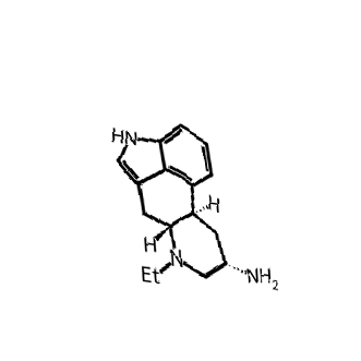 CCN1C[C@@H](N)C[C@@H]2c3cccc4[nH]cc(c34)C[C@H]21